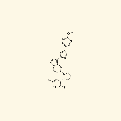 COc1ncc(-c2cnn(-c3cnn4ccc(N5CCC[C@@H]5c5cc(F)ccc5F)nc34)c2)cn1